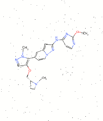 COc1nccc(Nc2cc3cc(-c4c(OC[C@H]5CCN5C)cnn4C)ccn3n2)n1